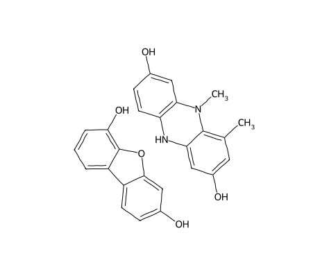 Cc1cc(O)cc2c1N(C)c1cc(O)ccc1N2.Oc1ccc2c(c1)oc1c(O)cccc12